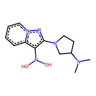 CN(C)C1CCN(c2nn3ccccc3c2N(O)O)C1